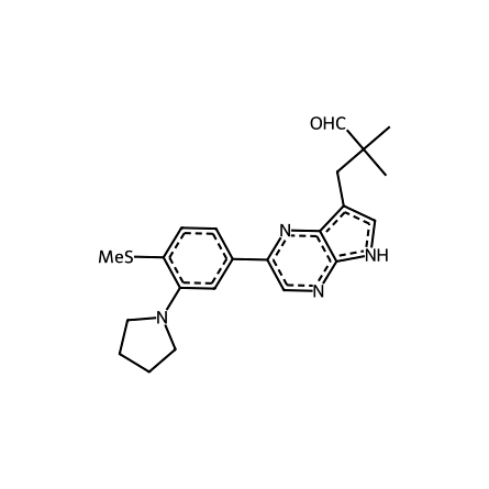 CSc1ccc(-c2cnc3[nH]cc(CC(C)(C)C=O)c3n2)cc1N1CCCC1